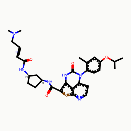 Cc1cc(OC(C)C)ccc1N1C(=O)Nc2c(C(=O)N[C@H]3CC[C@@H](NC(=O)/C=C/CN(C)C)C3)sc3nccc1c23